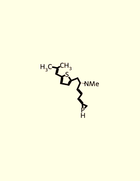 CN[C@H](/C=C/C=C1\CP1)Cc1ccc(C=C(C)C)s1